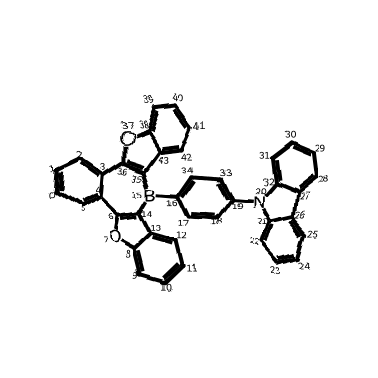 c1ccc2c(c1)-c1oc3ccccc3c1B(c1ccc(-n3c4ccccc4c4ccccc43)cc1)c1c-2oc2ccccc12